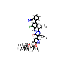 CCCc1nc(C)c(-c2ccc(OC(C)(C)CO[Si](C)(C)C(C)(C)C)nc2)c(=O)n1Cc1ccc(-c2ccccc2C#N)cc1F